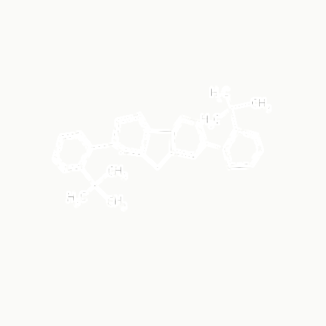 CC(C)(C)c1ccccc1-c1[c]c2c(cc1)-c1ccc(-c3ccccc3C(C)(C)C)cc1C2